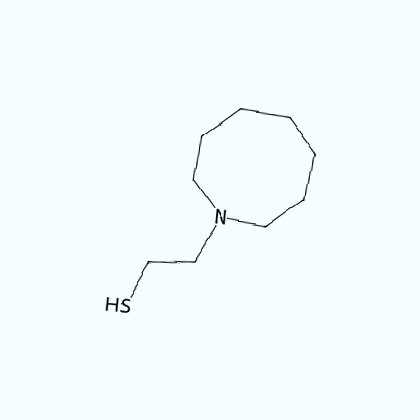 SCCN1CCCCCCC1